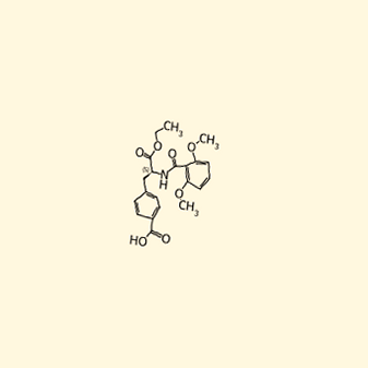 CCOC(=O)[C@H](Cc1ccc(C(=O)O)cc1)NC(=O)c1c(OC)cccc1OC